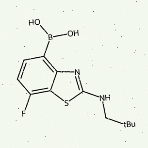 CC(C)(C)CNc1nc2c(B(O)O)ccc(F)c2s1